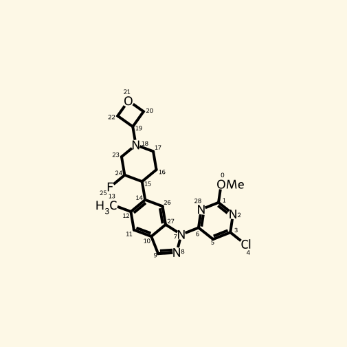 COc1nc(Cl)cc(-n2ncc3cc(C)c(C4CCN(C5COC5)CC4F)cc32)n1